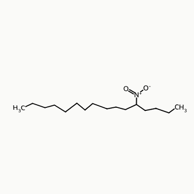 CCCCCCCCCCCC(CCCC)[N+](=O)[O-]